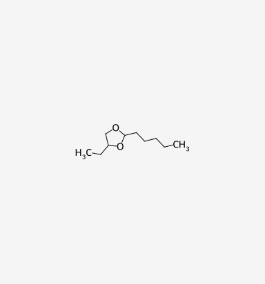 CCCCCC1OCC(CC)O1